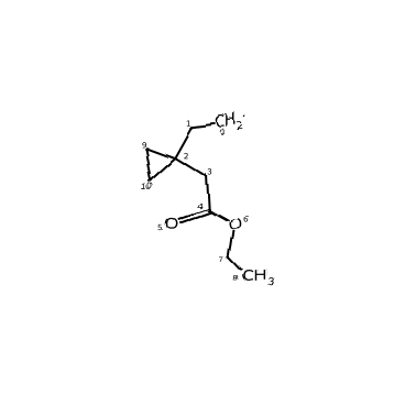 [CH2]CC1(CC(=O)OCC)CC1